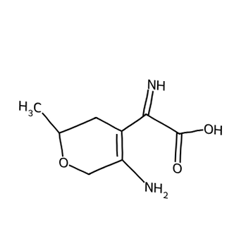 CC1CC(C(=N)C(=O)O)=C(N)CO1